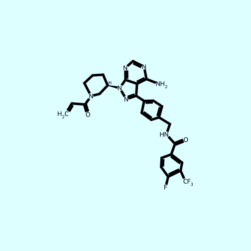 C=CC(=O)N1CCC[C@@H](n2nc(-c3ccc(CNC(=O)c4ccc(F)c(C(F)(F)F)c4)cc3)c3c(N)ncnc32)C1